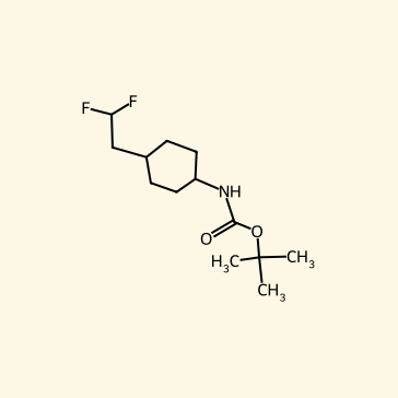 CC(C)(C)OC(=O)NC1CCC(CC(F)F)CC1